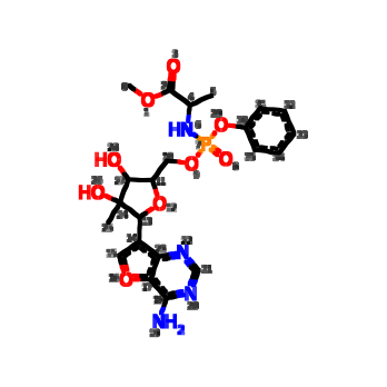 COC(=O)C(C)NP(=O)(OCC1OC(c2coc3c(N)ncnc23)C(C)(O)C1O)Oc1ccccc1